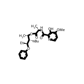 CCCC[C@@H]([C@H](C)OC(=O)[C@H](C)NC(=O)c1nccc(OC)c1O)[C@H](CC)Oc1ccccc1